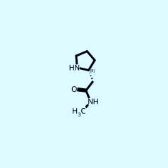 CNC(=O)C[C@H]1CCCN1